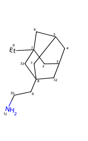 CCC12CC3CC(C1)CC(CCN)(C3)C2